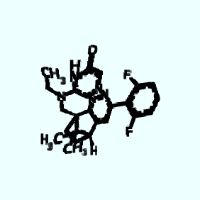 CCN(C[C@@]12CC[C@@H](c3cc(-c4c(F)cccc4F)nnc31)C2(C)C)c1cncc(=O)[nH]1